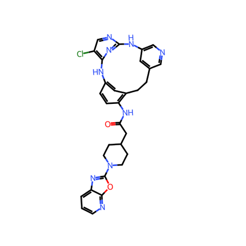 O=C(CC1CCN(c2nc3cccnc3o2)CC1)Nc1ccc2cc1CCc1cncc(c1)Nc1ncc(Cl)c(n1)N2